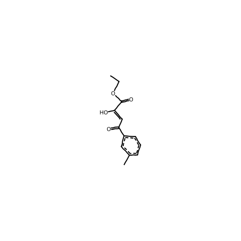 CCOC(=O)C(O)=CC(=O)c1cccc(C)c1